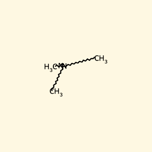 CCCCCCCCCCCCCCCCCN1C=CN(CCC)C1CCCCCCCCCCCCC